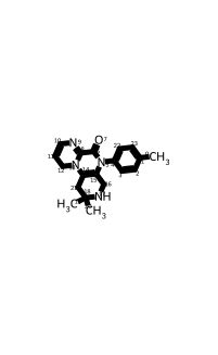 Cc1ccc(N2C(=O)C3=NC=CCN3C3=C2CNC(C)(C)C3)cc1